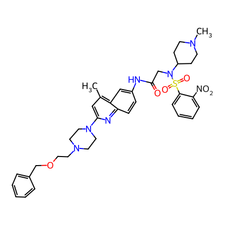 Cc1cc(N2CCN(CCOCc3ccccc3)CC2)nc2ccc(NC(=O)CN(C3CCN(C)CC3)S(=O)(=O)c3ccccc3[N+](=O)[O-])cc12